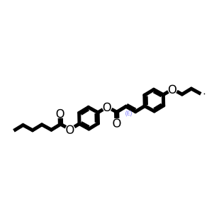 [CH2]CCOc1ccc(/C=C/C(=O)Oc2ccc(OC(=O)CCCCC)cc2)cc1